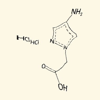 Cl.Cl.Nc1cnn(CC(=O)O)c1